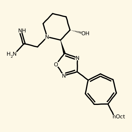 CCCCCCCCC1=CC=C=C(c2noc([C@@H]3[C@@H](O)CCCN3CC(=N)N)n2)C=C1